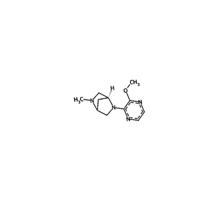 COc1nccnc1N1CC2C[C@H]1CN2C